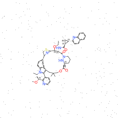 CCO[C@@H]1C2=NC(CS2)c2ccc3c(c2)c(c(-c2cccnc2[C@H](C)OC)n3CC)CC(C)(C)COC(=O)[C@@H]2CCCN(N2)C(=O)[C@H]1NC(=O)[C@H]1[C@H](C)[C@@H]1c1ccc2ccccc2n1